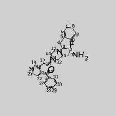 NCCC(Cc1ccccc1F)N1CCN([C@H](Cc2ccccc2)OCc2ccccc2)CC1